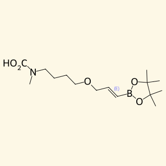 CN(CCCCOC/C=C/B1OC(C)(C)C(C)(C)O1)C(=O)O